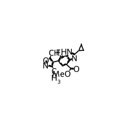 COC(=O)c1cc(-c2c(C)noc2C)c(F)c2[nH]c(C3CC3)nc12